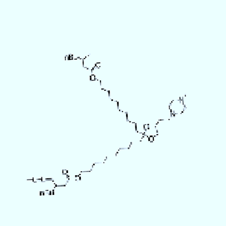 C=C=C=CC(CCCC)CC(=O)OCCCCCCCCCCC1(CCCCCCCCCCOC(=O)CC(C)CCCC)OCC(CCN2CCN(C)CC2)O1